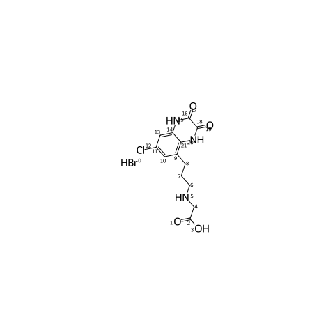 Br.O=C(O)CNCCCc1cc(Cl)cc2[nH]c(=O)c(=O)[nH]c12